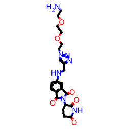 NCCOCCOCCn1cc(CNc2ccc3c(c2)C(=O)N(C2CCC(=O)NC2=O)C3=O)nn1